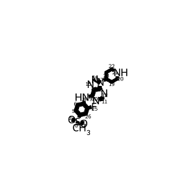 CS(=O)(=O)c1ccc(Nc2ncnc3c2nnn3C2CCNCC2)c(F)c1